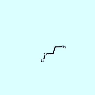 CCOC[CH]C(C)C